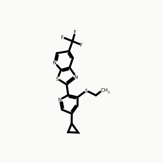 CCSc1cc(C2CC2)cnc1-c1nc2cc(C(F)(F)F)cnc2s1